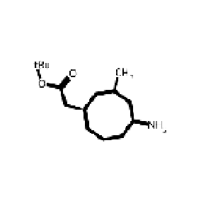 C[C@H]1CC(N)CCC[C@@H](CC(=O)OC(C)(C)C)C1